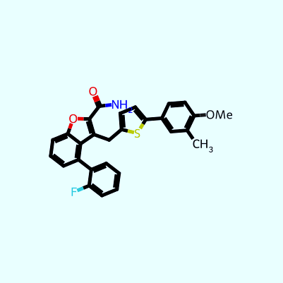 COc1ccc(-c2ccc(Cc3c(C(N)=O)oc4cccc(-c5ccccc5F)c34)s2)cc1C